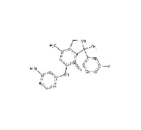 Cc1cc(Nc2cc(N)ncn2)c(=O)n2c1CNC2(C)c1cccc(F)c1